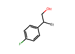 [CH2]CC(CO)c1ccc(F)cc1